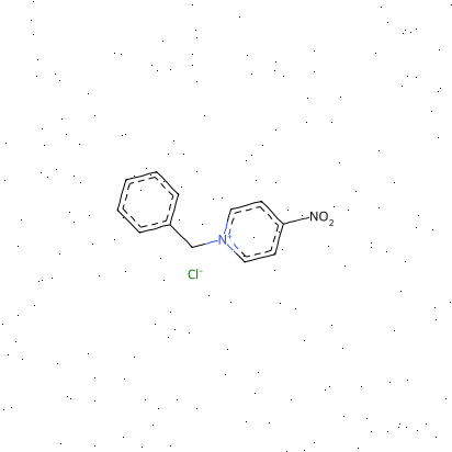 O=[N+]([O-])c1cc[n+](Cc2ccccc2)cc1.[Cl-]